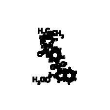 COC[C@@H]1Cc2ccccc2N1S(=O)(=O)c1ccc2c(c1)C(=O)C1=NCC(C)(C)CN12